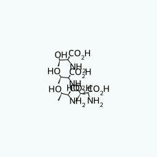 C[C@@H](O)[C@H](N)C(=O)O.C[C@@H](O)[C@H](N)C(=O)O.C[C@@H](O)[C@H](N)C(=O)O.C[C@@H](O)[C@H](N)C(=O)O